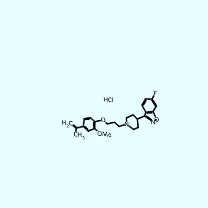 C=C(C)c1ccc(OCCCN2CCC(c3noc4cc(F)ccc34)CC2)c(OC)c1.Cl